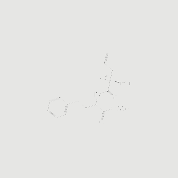 C=CC[C@@](C)(C(=O)NC(CCc1ccccc1)C(=O)OC)C(C)CC